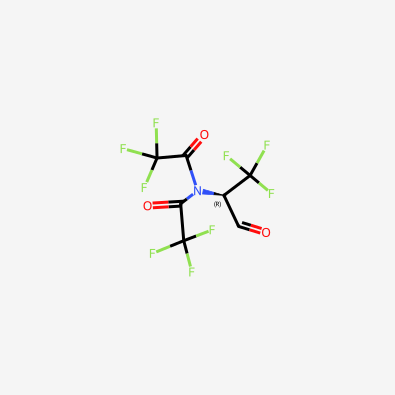 O=C[C@@H](N(C(=O)C(F)(F)F)C(=O)C(F)(F)F)C(F)(F)F